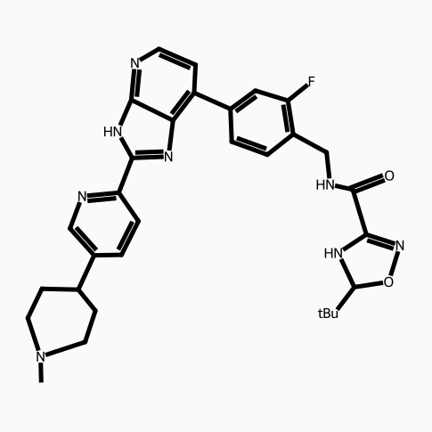 CN1CCC(c2ccc(-c3nc4c(-c5ccc(CNC(=O)C6=NOC(C(C)(C)C)N6)c(F)c5)ccnc4[nH]3)nc2)CC1